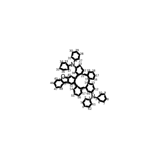 c1ccc(N(c2ccccc2)c2ccc3c4ccccc4c4ccc(N(c5ccccc5)c5ccccc5)cc4c4cc5oc6ccccc6c5cc4c4ccccc4c3c2)cc1